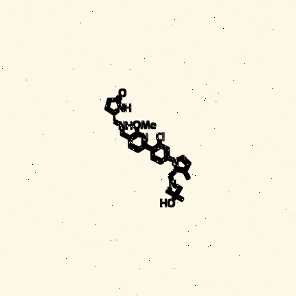 COc1nc(-c2ccc(-n3ccc(C)c3CN3CC(C)(O)C3)cc2Cl)ccc1CNC[C@@H]1CCC(=O)N1